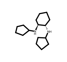 C1CCC(N[C@H]2CCCC[C@@H]2NC2CCCC2)C1